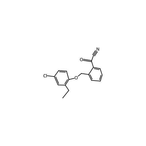 CCc1cc(Cl)ccc1OCc1ccccc1C(=O)C#N